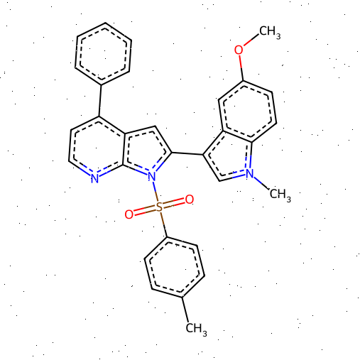 COc1ccc2c(c1)c(-c1cc3c(-c4ccccc4)ccnc3n1S(=O)(=O)c1ccc(C)cc1)cn2C